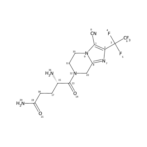 N#Cc1c(C(F)(F)C(F)(F)F)nc2n1CCN(C(=O)[C@@H](N)CCC(N)=O)C2